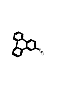 O=Bc1ccc2c3ccccc3c3ccccc3c2c1